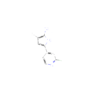 [CH2]Cc1cc(-c2ccnc(Cl)c2)[nH]c1N